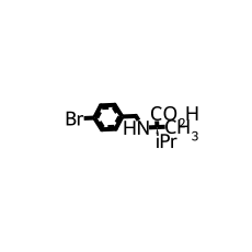 CC(C)[C@](C)(NCc1ccc(Br)cc1)C(=O)O